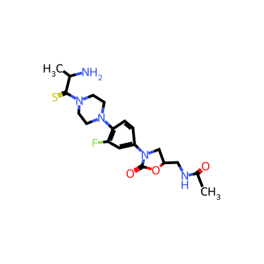 CC(=O)NCC1CN(c2ccc(N3CCN(C(=S)C(C)N)CC3)c(F)c2)C(=O)O1